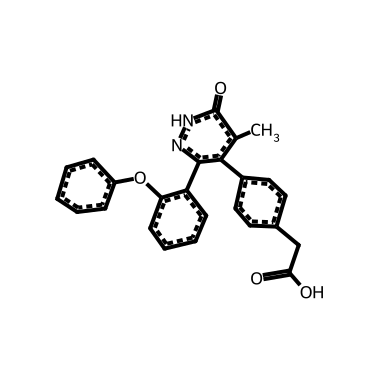 Cc1c(-c2ccc(CC(=O)O)cc2)c(-c2ccccc2Oc2ccccc2)n[nH]c1=O